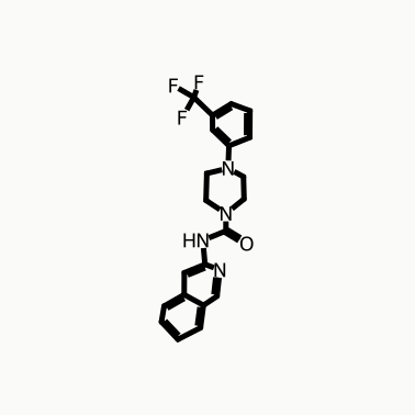 O=C(Nc1cc2ccccc2cn1)N1CCN(c2cccc(C(F)(F)F)c2)CC1